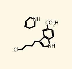 C1=CCNCC1.O=C(O)c1ccc2[nH]cc(CCCCCl)c2c1